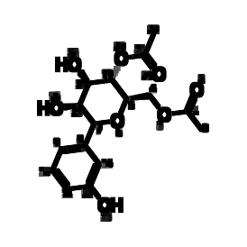 CC(=O)OC[C@H]1OC(c2cccc(O)c2)[C@@H](O)[C@@H](O)[C@@H]1OC(C)=O